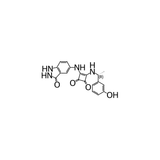 C[C@@H](Nc1c(Nc2ccc3[nH][nH]c(=O)c3c2)c(=O)c1=O)c1cccc(O)c1